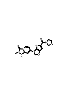 CN1NC2C=C(N3COc4cc(C(=O)N5CCOC5)[nH]c43)C=CN2C1=O